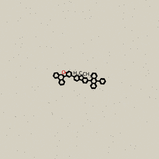 CC1(C)c2cc(-c3ccc4oc5c6ccccc6c6ccccc6c5c4c3)ccc2-c2ccc(-c3c4ccccc4c(-c4ccccc4)c4ccccc34)cc21